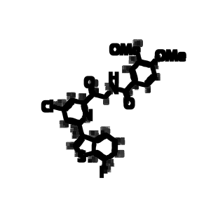 COc1ccc(C(=O)NCC(=O)c2cc(Cl)cc(-c3csc4c(F)cccc34)n2)cc1OC